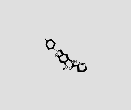 COc1cc2nn([C@H]3CC[C@H](C)CC3)cc2cc1NC(=O)c1cccnn1